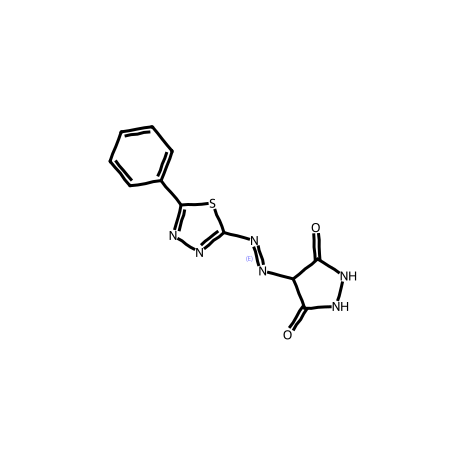 O=C1NNC(=O)C1/N=N/c1nnc(-c2ccccc2)s1